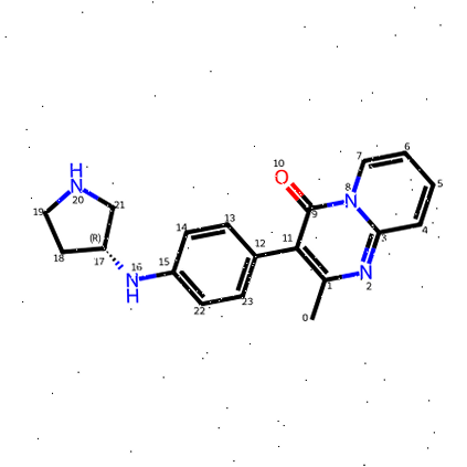 Cc1nc2ccccn2c(=O)c1-c1ccc(N[C@@H]2CCNC2)cc1